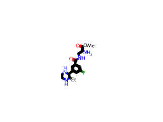 CCC1NCCNC1c1cc(F)cc(C(=O)NC[C@@H](N)C(=O)OC)c1